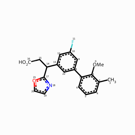 COc1c(C)cccc1-c1cc(F)cc(C(CC(=O)O)c2ncco2)c1